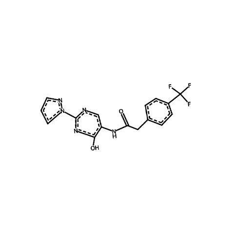 O=C(Cc1ccc(C(F)(F)F)cc1)Nc1cnc(-n2cccn2)nc1O